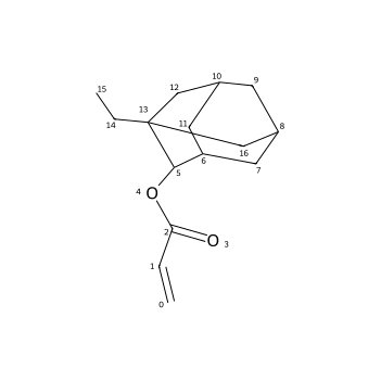 C=CC(=O)OC1C2CC3CC(C2)CC1(CC)C3